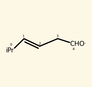 CC(C)C=CC[C]=O